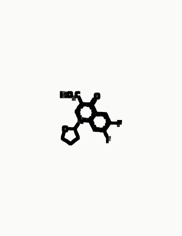 CCOC(=O)c1cn(C2CCCO2)c2cc(F)c(F)cc2c1=O